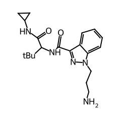 CC(C)(C)C(NC(=O)c1nn(CCCN)c2ccccc12)C(=O)NC1CC1